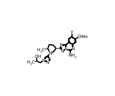 COc1cc2nc(N)n3nc([C@@H]4CC[C@H](C)N(c5cnn(C[C@@H](C)O)c5)C4)nc3c2cc1F